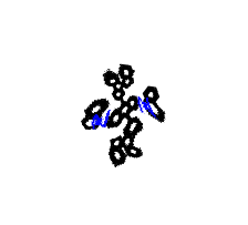 c1ccc2c(c1)CCCN2c1ccc2c(-c3ccc4c(c3)C3(CCc5ccccc53)c3ccccc3-4)c3cc(N4CCCc5ccccc54)ccc3c(-c3ccc4c(c3)C3(CCc5ccccc53)c3ccccc3-4)c2c1